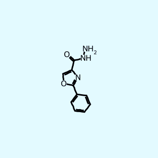 NNC(=O)c1coc(-c2ccccc2)n1